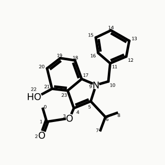 CC(=O)Oc1c(C(C)C)n(Cc2ccccc2)c2cccc(O)c12